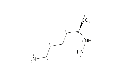 [NH]N[C@@H](CCCCN)C(=O)O